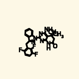 CC1(C)CC(=O)Nc2nc(-n3nc(Cc4c(F)ccc(F)c4F)c4ccccc43)nc(N)c21